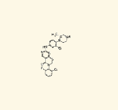 C[C@@H]1CNCCN1c1ccc(Nc2ncc3c(n2)SCN(c2c(F)cccc2Cl)C3=O)cc1Cl